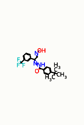 CC(C)(C)c1ccc(C(=O)N/N=C(\C=N\O)c2cccc(C(F)(F)F)c2)cc1